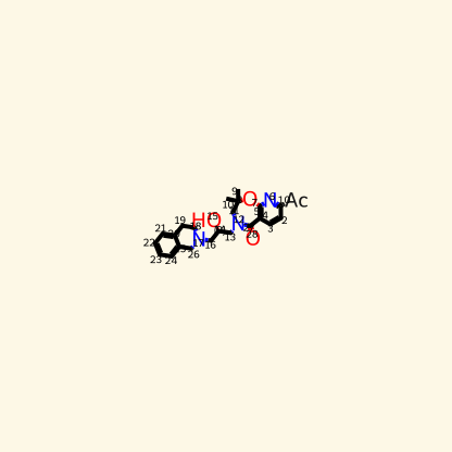 CC(=O)c1ccc2c(n1)OC(C)(C)CN(C[C@H](O)CN1CCc3ccccc3C1)C2=O